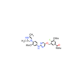 CNC(=O)c1cc(COc2cnc(Nc3ccc(N4C=C(C)N[C@@H](C)C4)c(OC)c3)nc2)c(F)c(OC)c1